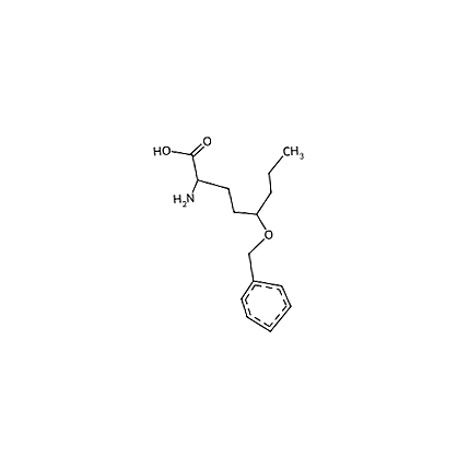 CCCC(CCC(N)C(=O)O)OCc1ccccc1